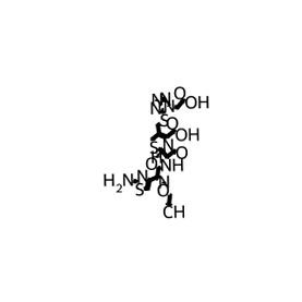 C#CCON=C(C(=O)NC1C(=O)N2C(C(=O)O)=C(CSc3nnnn3CC(=O)O)CS[C@@H]12)c1csc(N)n1